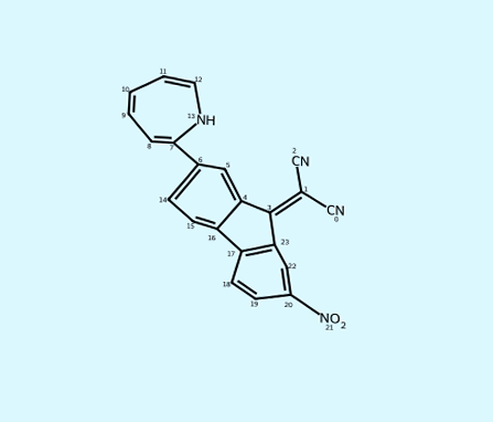 N#CC(C#N)=C1c2cc(C3=CC=CC=CN3)ccc2-c2ccc([N+](=O)[O-])cc21